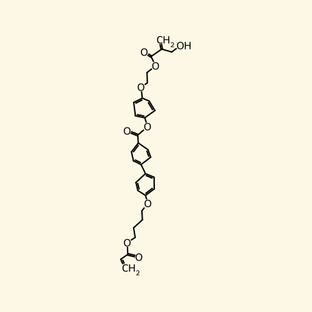 C=CC(=O)OCCCCOc1ccc(-c2ccc(C(=O)Oc3ccc(OCCOC(=O)C(=C)CO)cc3)cc2)cc1